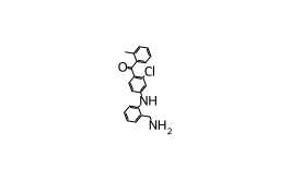 Cc1ccccc1C(=O)c1ccc(Nc2ccccc2CN)cc1Cl